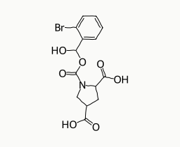 O=C(O)C1CC(C(=O)O)N(C(=O)OC(O)c2ccccc2Br)C1